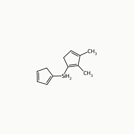 CC1=CCC([SiH2]C2=CC=CC2)=C1C